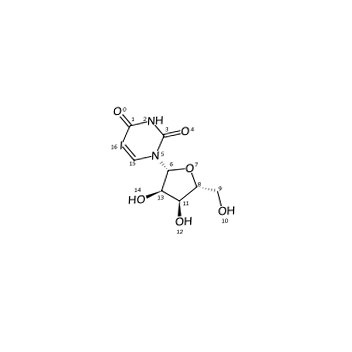 O=C1NC(=O)N([C@@H]2O[C@H](CO)[C@@H](O)[C@H]2O)C=I1